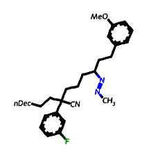 CCCCCCCCCCCCC(C#N)(CCCC(CCc1cccc(OC)c1)N=NC)c1cccc(F)c1